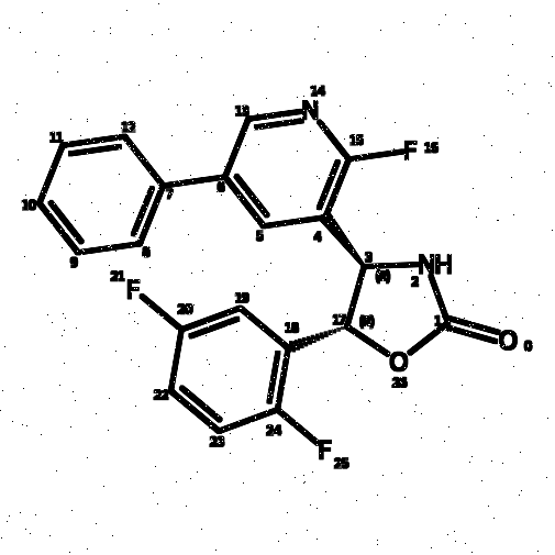 O=C1N[C@H](c2cc(-c3ccccc3)cnc2F)[C@@H](c2cc(F)ccc2F)O1